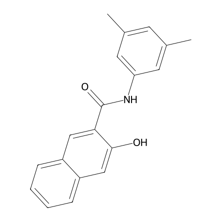 Cc1cc(C)cc(NC(=O)c2cc3ccccc3cc2O)c1